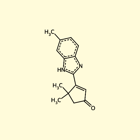 Cc1ccc2nc(C3=CC(=O)CC3(C)C)[nH]c2c1